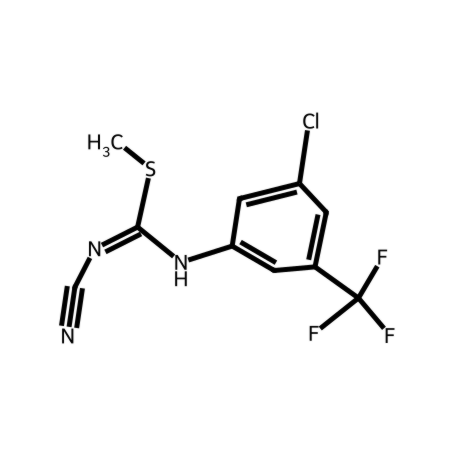 CS/C(=N/C#N)Nc1cc(Cl)cc(C(F)(F)F)c1